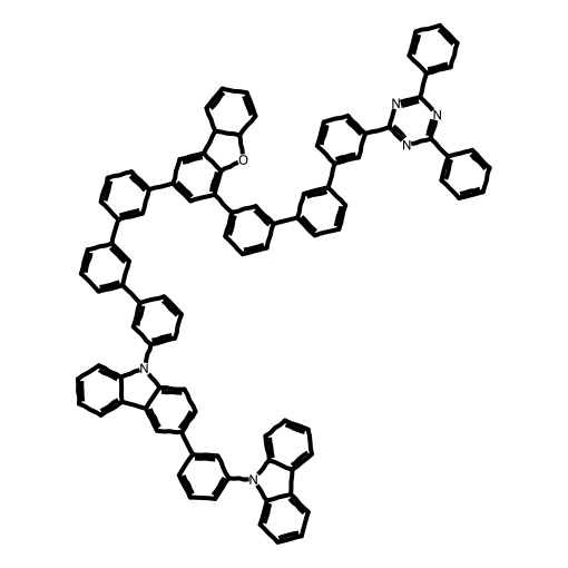 C1=CC2Oc3c(-c4cccc(-c5cccc(-c6cccc(-c7nc(-c8ccccc8)nc(-c8ccccc8)n7)c6)c5)c4)cc(-c4cccc(-c5cccc(-c6cccc(-n7c8ccccc8c8cc(-c9cccc(-n%10c%11ccccc%11c%11ccccc%11%10)c9)ccc87)c6)c5)c4)cc3C2C=C1